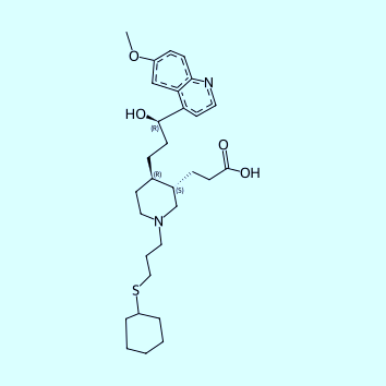 COc1ccc2nccc([C@H](O)CC[C@@H]3CCN(CCCSC4CCCCC4)C[C@H]3CCC(=O)O)c2c1